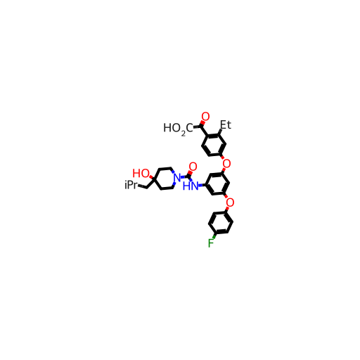 CCc1cc(Oc2cc(NC(=O)N3CCC(O)(CC(C)C)CC3)cc(Oc3ccc(F)cc3)c2)ccc1C(=O)C(=O)O